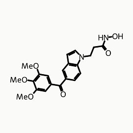 COc1cc(C(=O)c2ccc3c(ccn3CCC(=O)NO)c2)cc(OC)c1OC